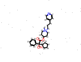 C[N+]1(CCCc2ccncc2)CCC(OC(=O)C(O)(c2ccccc2)C2CCCC2)CC1